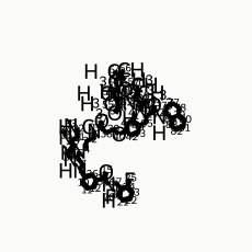 CN(CCCn1c(CNc2cccc(C(=O)NCc3c(F)cccc3F)c2)nnc1-c1ccncn1)C(=O)CCOc1ccc2c(c1)CN(C(=O)[C@@H](NC[C@](C)(C=O)N(C)C(=O)OC(C)(C)C)C(C)(C)C)C(C(=O)N[C@@H]1CCCc3ccccc31)C2